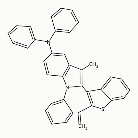 C=Cc1sc2ccccc2c1-c1c(C)c2cc(N(c3ccccc3)c3ccccc3)ccc2n1-c1ccccc1